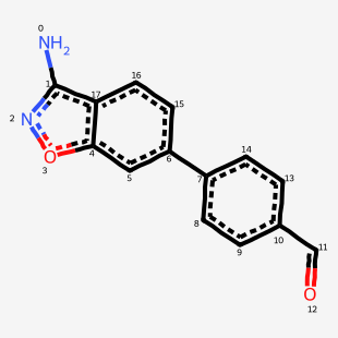 Nc1noc2cc(-c3ccc(C=O)cc3)ccc12